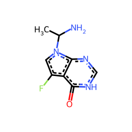 CC(N)n1cc(F)c2c(=O)[nH]cnc21